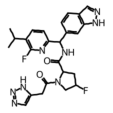 CC(C)c1ccc(C(NC(=O)C2CC(F)CN2C(=O)Cc2cnn[nH]2)c2ccc3cn[nH]c3c2)nc1F